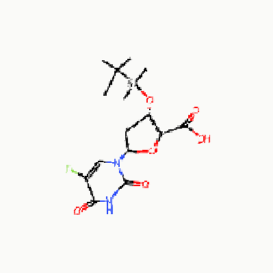 CC(C)(C)[Si](C)(C)O[C@H]1C[C@H](n2cc(F)c(=O)[nH]c2=O)O[C@@H]1C(=O)O